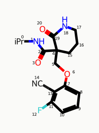 CC(C)NC(=O)C1(COc2cccc(F)c2C#N)CCCNC1=O